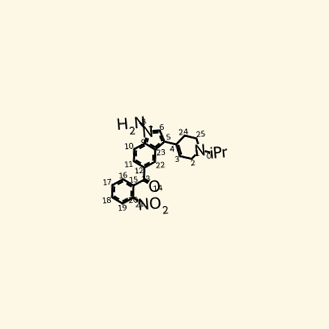 CC(C)N1CC=C(c2cn(N)c3ccc(C(=O)c4ccccc4[N+](=O)[O-])cc23)CC1